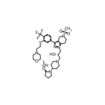 CS(=O)(=O)N1CCc2c(c(-c3ccc(C(F)(F)F)c(SCCN4CCO[C@@H](CO)C4)c3)nn2C[C@@H](O)CN2CCC(N3CCCC3=O)CC2)C1